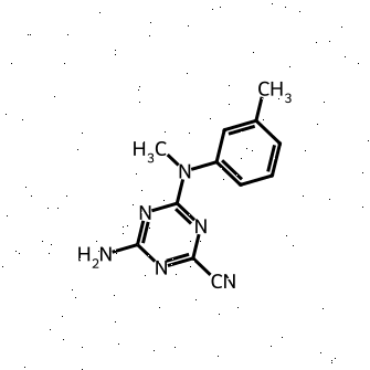 Cc1cccc(N(C)c2nc(N)nc(C#N)n2)c1